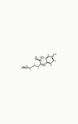 CCCCCCCCCCCCC(Oc1ccc(C)cc1)C(=O)Cl